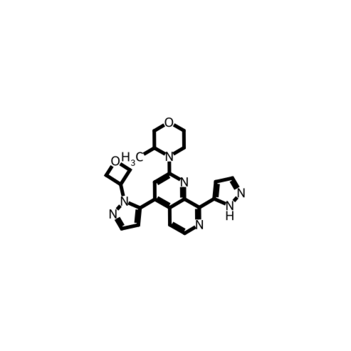 CC1COCCN1c1cc(-c2ccnn2C2COC2)c2ccnc(-c3ccn[nH]3)c2n1